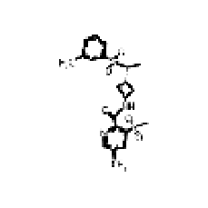 CC([C@H]1C[C@H](NC(=O)c2ncc(C(F)(F)F)cc2S(C)(=O)=O)C1)S(=O)(=O)c1cccc(C(F)(F)F)c1